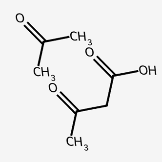 CC(=O)CC(=O)O.CC(C)=O